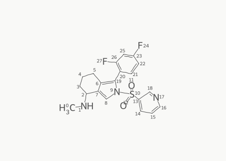 CNC1CCCc2c1cn(S(=O)(=O)c1cccnc1)c2-c1ccc(F)cc1F